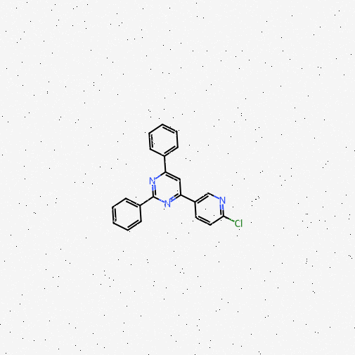 Clc1ccc(-c2cc(-c3ccccc3)nc(-c3ccccc3)n2)cn1